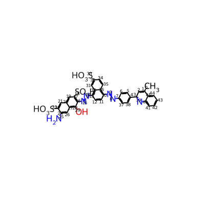 Cc1cc(-c2ccc(/N=N/c3ccc(/N=N/c4c(S(=O)(=O)O)cc5cc(S(=O)(=O)O)c(N)cc5c4O)c4cc(S(=O)(=O)O)ccc34)cc2)nc2ccccc12